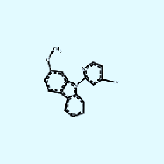 COc1ccc2c3ccccc3n(-c3cc(Br)ccn3)c2c1